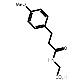 COc1ccc(CCC(=O)NCC(=O)O)cc1